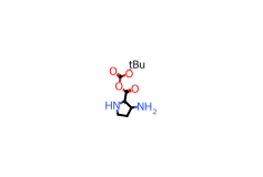 CC(C)(C)OC(=O)OC(=O)[C]1NCCC1N